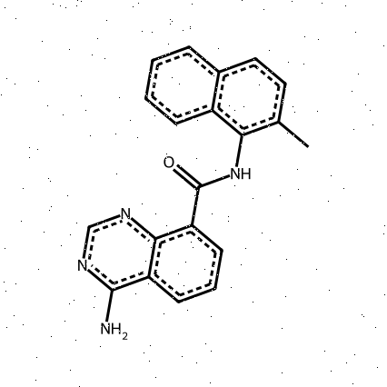 Cc1ccc2ccccc2c1NC(=O)c1cccc2c(N)ncnc12